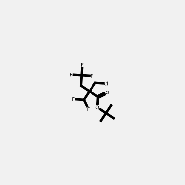 CC(C)(C)OC(=O)C(CCl)(CC(F)(F)F)C(F)F